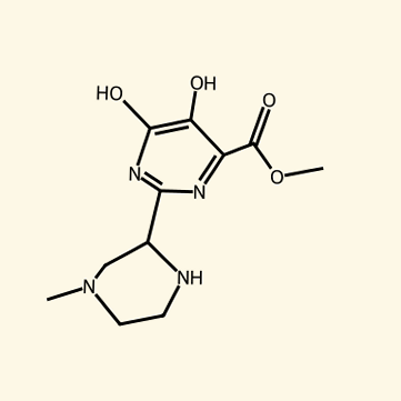 COC(=O)c1nc(C2CN(C)CCN2)nc(O)c1O